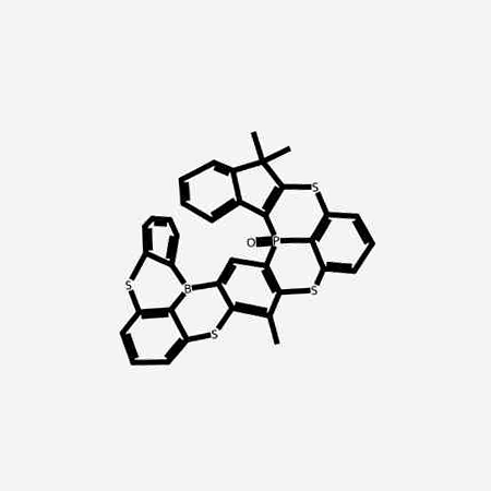 Cc1c2c(cc3c1Sc1cccc4c1P3(=O)C1=C(S4)C(C)(C)c3ccccc31)B1c3ccccc3Sc3cccc(c31)S2